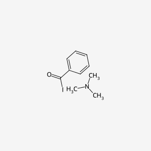 CN(C)C.O=C(I)c1ccccc1